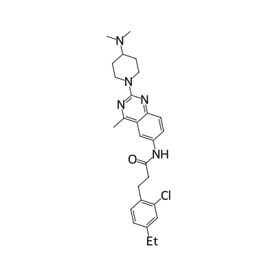 CCc1ccc(CCC(=O)Nc2ccc3nc(N4CCC(N(C)C)CC4)nc(C)c3c2)c(Cl)c1